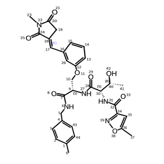 Cc1ccc(CNC(=O)[C@H](COc2cccc(/C=C3\CC(=O)N(C)C3=O)c2)NC(=O)[C@@H](NC(=O)c2cc(C)on2)[C@@H](C)O)cc1